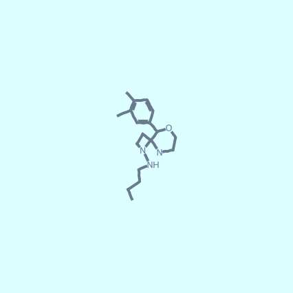 CCCCNN1CCC12[N]CCOC2c1ccc(C)c(C)c1